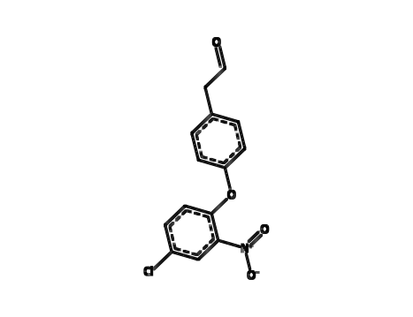 O=CCc1ccc(Oc2ccc(Cl)cc2[N+](=O)[O-])cc1